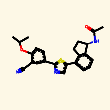 CC(=O)N[C@H]1CCc2c(-c3cnc(-c4ccc(OC(C)C)c(C#N)c4)s3)cccc21